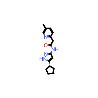 Cc1ccc(CC(=O)Nc2cc([C@@H]3C[CH]CC3)[nH]n2)nc1